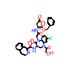 O=C(CN1C(=O)[C@@H](NC(=O)c2nccc3ccccc23)CN(C(=O)CO)c2cc(F)ccc21)N[C@H]1CC(=O)OC1OCc1ccccc1